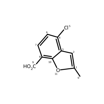 Cc1cc2c(Cl)ccc(C(=O)O)c2o1